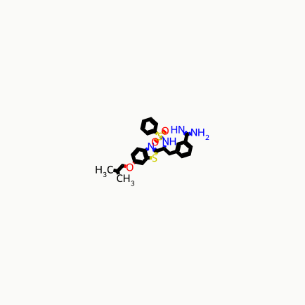 CC(C)COc1ccc2nc(C(Cc3cccc(C(=N)N)c3)NS(=O)(=O)c3ccccc3)sc2c1